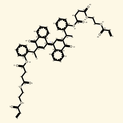 C=CC(=O)OCCOC(=O)CCC(=O)Oc1ccccc1C(C)C1=C/C(=C2/C=C(C(C)c3ccccc3OC(=O)CCC(=O)OCCOC(=O)C=C)C(=O)c3ccccc32)c2ccccc2C1=O